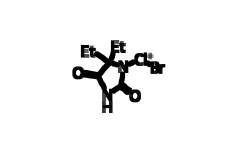 CCC1(CC)C(=O)NC(=O)N1[Cl+]Br